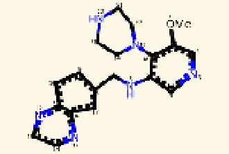 COc1cncc(NCc2ccc3nccnc3c2)c1N1CCNCC1